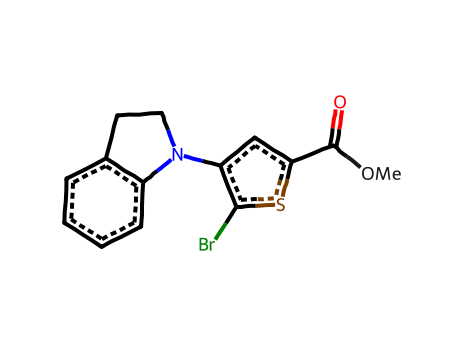 COC(=O)c1cc(N2CCc3ccccc32)c(Br)s1